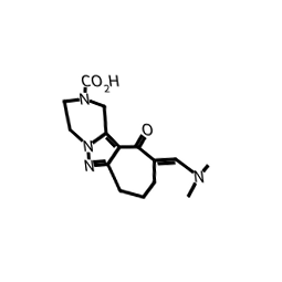 CN(C)C=C1CCCc2nn3c(c2C1=O)CN(C(=O)O)CC3